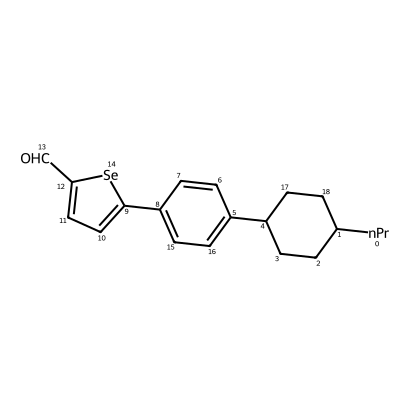 CCCC1CCC(c2ccc(-c3ccc(C=O)[se]3)cc2)CC1